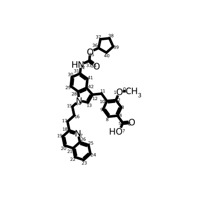 COc1cc(C(=O)O)ccc1Cc1cn(CCCc2ccc3ccccc3n2)c2ccc(NC(=O)OC3CCCC3)cc12